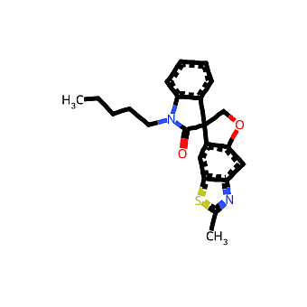 CCCCCN1C(=O)C2(COc3cc4nc(C)sc4cc32)c2ccccc21